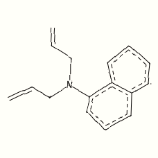 C=CCN(CC=C)c1cccc2[c]cccc12